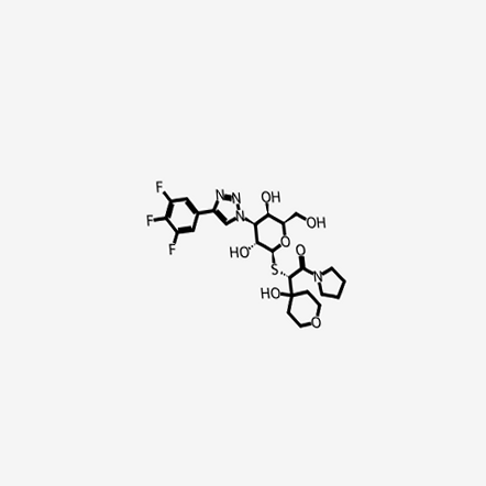 O=C([C@@H](S[C@@H]1O[C@H](CO)[C@H](O)[C@H](n2cc(-c3cc(F)c(F)c(F)c3)nn2)[C@H]1O)C1(O)CCOCC1)N1CCCC1